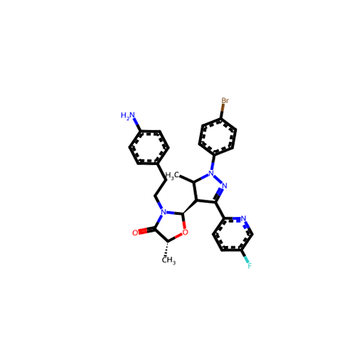 CC1C([C@H]2O[C@H](C)C(=O)N2CCc2ccc(N)cc2)C(c2ccc(F)cn2)=NN1c1ccc(Br)cc1